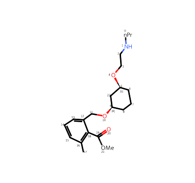 CCCNCCO[C@H]1CCC[C@@H](OCc2cccc(C)c2C(=O)OC)C1